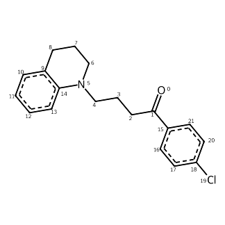 O=C(CCCN1CCCc2ccccc21)c1ccc(Cl)cc1